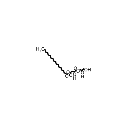 CCCCCCCCCCCCCCCCCC(=O)OC(=O)CC(O)C(=O)OCC(O)CO